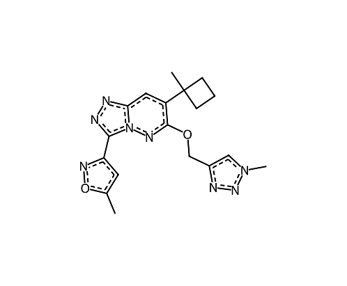 Cc1cc(-c2nnc3cc(C4(C)CCC4)c(OCc4cn(C)nn4)nn23)no1